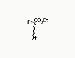 CCOC(=O)C(SCCCCCC(C)F)C(C)C